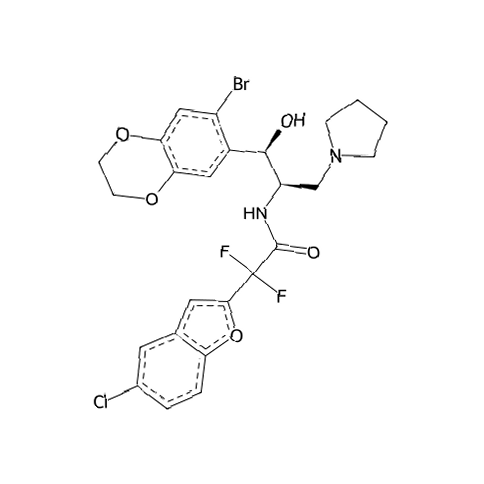 O=C(N[C@H](CN1CCCC1)[C@H](O)c1cc2c(cc1Br)OCCO2)C(F)(F)c1cc2cc(Cl)ccc2o1